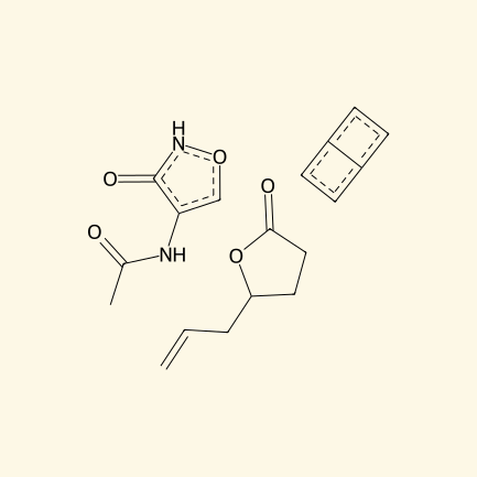 C=CCC1CCC(=O)O1.CC(=O)Nc1co[nH]c1=O.c1cc2ccc1-2